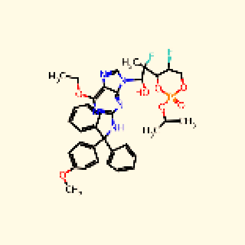 CCOc1nc(NC(c2ccccc2)(c2ccccc2)c2ccc(OC)cc2)nc2c1ncn2[C@H](O)[C@](C)(F)[C@@H]1OP(=O)(OC(C)C)OC[C@@H]1F